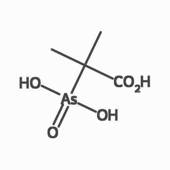 CC(C)(C(=O)O)[As](=O)(O)O